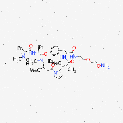 CC[C@H](C)[C@@H]([C@@H](CC(=O)N1CCC[C@H]1[C@H](OC)[C@@H](C)C(=O)NC(Cc1ccccc1)C(=O)NCCOCCON)OC)N(C)C(=O)[C@@H](NC(=O)[C@H](C(C)C)N(C)C)C(C)C